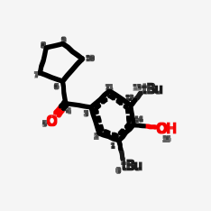 CC(C)(C)c1cc(C(=O)C2CCCC2)cc(C(C)(C)C)c1O